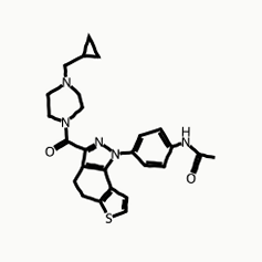 CC(=O)Nc1ccc(-n2nc(C(=O)N3CCN(CC4CC4)CC3)c3c2-c2ccsc2CC3)cc1